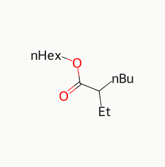 CCCCCCOC(=O)C(CC)CCCC